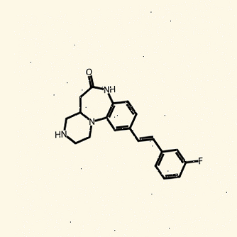 O=C1CC2CNCCN2c2cc(/C=C/c3cccc(F)c3)ccc2N1